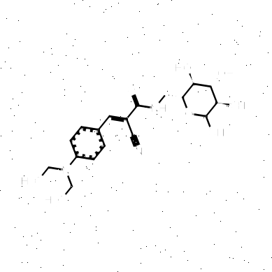 CCN(CC)c1ccc(/C=C(\C#N)C(=O)NC[C@H]2OC(O)[C@H](C)[C@@H](O)[C@@H]2O)cc1